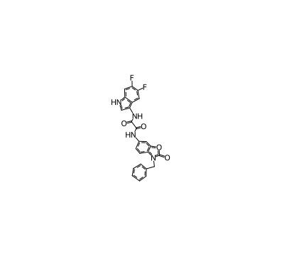 O=C(Nc1ccc2c(c1)oc(=O)n2Cc1ccccc1)C(=O)Nc1c[nH]c2cc(F)c(F)cc12